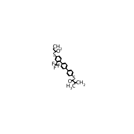 C=CC(=O)Sc1ccc(-c2ccc(-c3ccc(SC(=O)C(=C)C)cc3)cc2)c(C(F)(F)F)c1